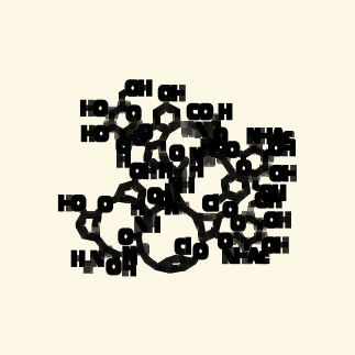 CC(=O)N[C@H]1[C@H](Oc2c3cc4cc2Oc2ccc(cc2Cl)[C@@H](OC2O[C@H](CO)[C@@H](O)[C@H](O)[C@H]2NC(C)=O)[C@@H]2NC(=O)[C@H](NC(=O)[C@@H]4NC(=O)[C@H]4NC(=O)[C@@H](Cc5ccc(c(Cl)c5)O3)NC(=O)[C@H](N)c3ccc(O)c(c3)Oc3cc(O)cc4c3)c3ccc(O)c(c3)-c3c(O[C@H]4O[C@H](CO)[C@@H](O)[C@H](O)[C@@H]4O)cc(O)cc3[C@H](C(=O)O)NC2=O)O[C@H](CO)[C@@H](O)[C@@H]1O